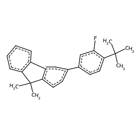 CC(C)(C)c1ccc(-c2ccc3c(c2)-c2ccccc2C3(C)C)cc1F